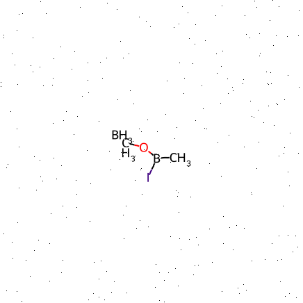 B.COB(C)I